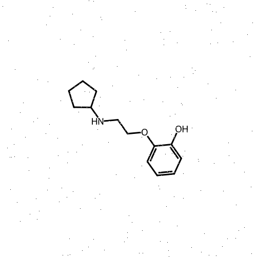 Oc1ccccc1OCCNC1CCCC1